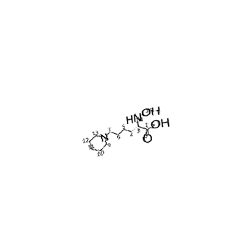 O=C(O)[C@H](CCCCN1CCCCC1)NO